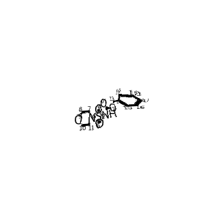 O=C(NS(=O)(=O)N1CCOCC1)OCc1ccccc1